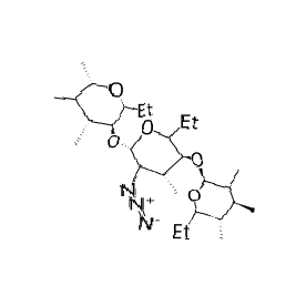 CCC1O[C@@H](O[C@@H]2C(CC)O[C@@H](O[C@@H]3C(CC)O[C@@H](C)C(C)[C@H]3C)C(N=[N+]=[N-])[C@H]2C)C(C)[C@@H](C)[C@@H]1C